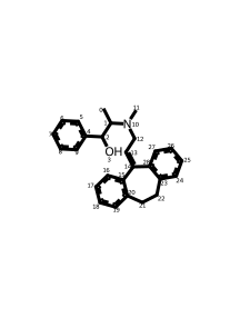 CC(C(O)c1ccccc1)N(C)CC=C1c2ccccc2CCc2ccccc21